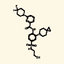 O=C(Nc1ccc(S(=O)(=O)NCCO)cc1N1CCC2(CC1)CC2)c1cccc(N2CCC(F)(F)CC2)n1